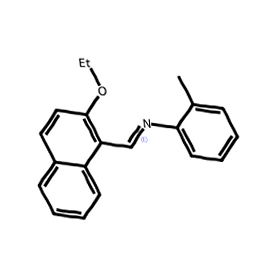 CCOc1ccc2ccccc2c1/C=N/c1ccccc1C